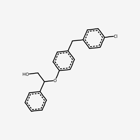 OCC(Oc1ccc(Cc2ccc(Cl)cc2)cc1)c1ccccc1